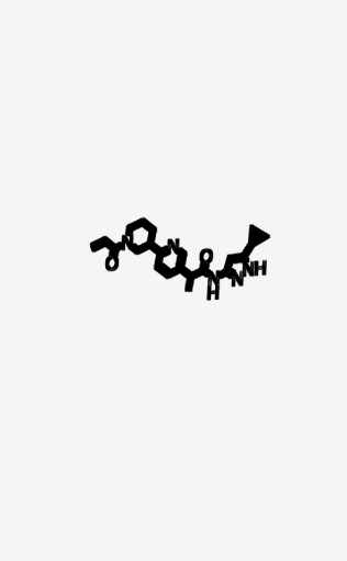 C=CC(=O)N1CCCC(c2ccc(C(C)C(=O)Nc3cc(C4CC4)[nH]n3)cn2)C1